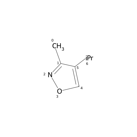 Cc1nocc1C(C)C